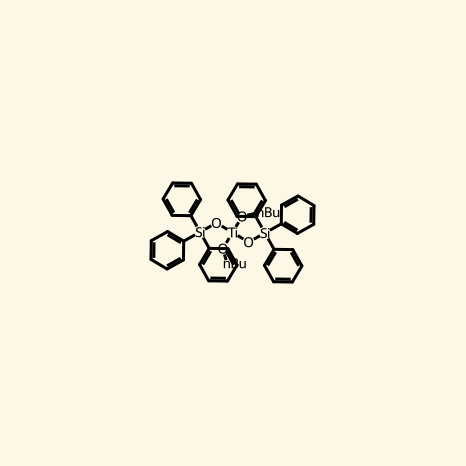 CCCC[O][Ti]([O]CCCC)([O][Si](c1ccccc1)(c1ccccc1)c1ccccc1)[O][Si](c1ccccc1)(c1ccccc1)c1ccccc1